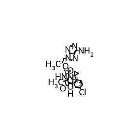 C[C@H](Cn1cnc2c(N)ncnc21)OC[P@](=O)(NC(C)(C)C(=O)O)NC1(c2ccc(Cl)cc2)CC1